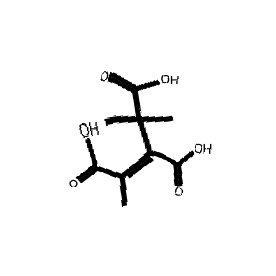 CC(C(=O)O)=C(C(=O)O)C(C)(C)C(=O)O